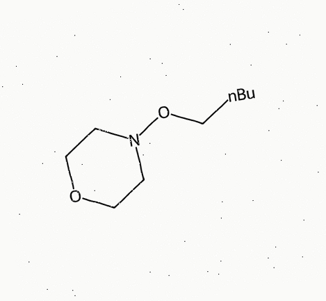 CCCCCON1CCOCC1